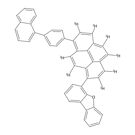 [2H]c1c([2H])c2c([2H])c([2H])c3c([2H])c([2H])c(-c4cccc5c4oc4ccccc45)c4c([2H])c([2H])c(c1-c1ccc(-c5cccc6ccccc56)cc1)c2c34